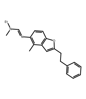 CCN(C)C=Nc1ccc2oc(CCc3ccccc3)cc2c1C